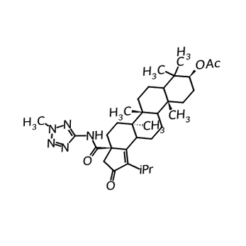 CC(=O)O[C@H]1CC[C@@]2(C)C(CC[C@]3(C)C2CCC2C4=C(C(C)C)C(=O)C[C@]4(C(=O)Nc4nnn(C)n4)CC[C@]23C)C1(C)C